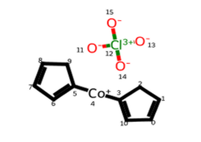 C1=CC[C]([Co+][C]2=CC=CC2)=C1.[O-][Cl+3]([O-])([O-])[O-]